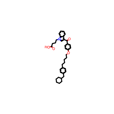 O=C(O)CCCn1cc(C(=O)c2ccc(OCCCCCc3ccc(CC4CCCCC4)cc3)cc2)c2ccccc21